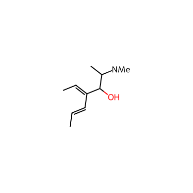 CC=CC(=CC)C(O)C(C)NC